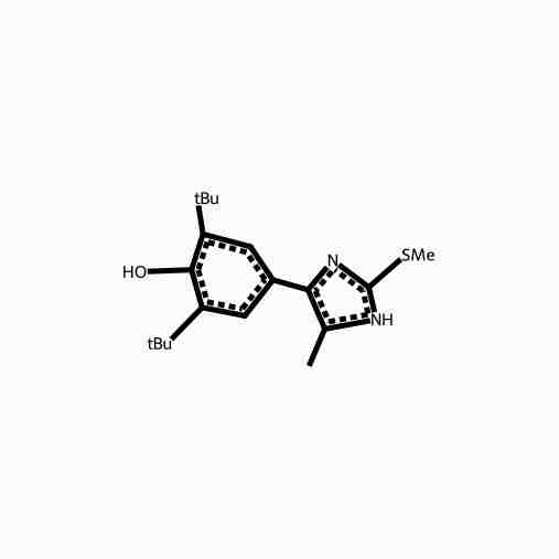 CSc1nc(-c2cc(C(C)(C)C)c(O)c(C(C)(C)C)c2)c(C)[nH]1